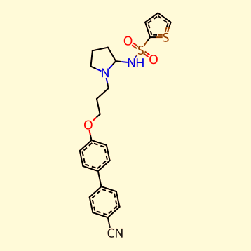 N#Cc1ccc(-c2ccc(OCCCN3CCCC3NS(=O)(=O)c3cccs3)cc2)cc1